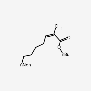 CCCCCCCCCCCCCC=C(C)C(=O)OCCCC